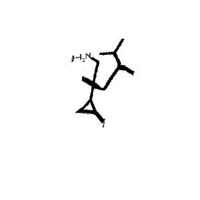 CC(C)C(C)CC(C)(CN)C1CC1I